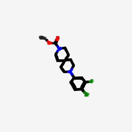 CC(C)(C)OC(=O)N1CCC2(CC1)CCN(c1ccc(Br)c(F)c1)CC2